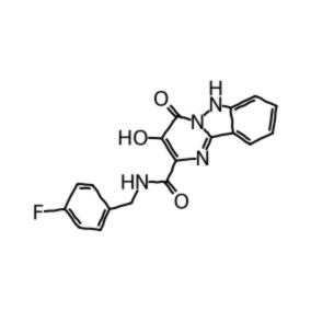 O=C(NCc1ccc(F)cc1)c1nc2c3ccccc3[nH]n2c(=O)c1O